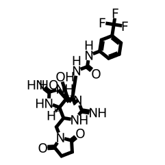 N=C1N[C@H]2C(CN3C(=O)CCC3=O)NC(=N)N3CC(NC(=O)Nc4cccc(C(F)(F)F)c4)C(O)(O)[C@]23N1